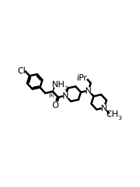 CC(C)CN(C1CCN(C)CC1)C1CCN(C(=O)[C@H](N)Cc2ccc(Cl)cc2)CC1